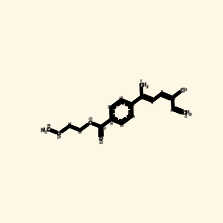 C=C/C(Cl)=C\C=C(/C)c1ccc(C(=O)OCCOC)cc1